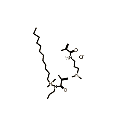 C=C(C)C(=O)N(CCC)[N+](C)(C)CCCCCCCCCCCC.C=C(C)C(=O)NCCCN(C)C.[Cl-]